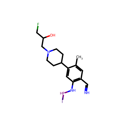 Cc1cc(C=N)c(NPI)cc1C1CCN(CC(O)CF)CC1